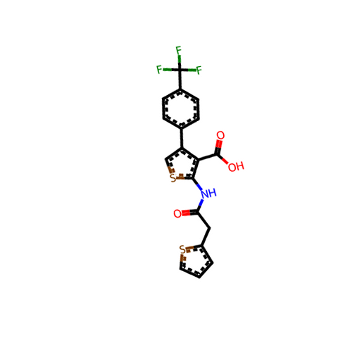 O=C(Cc1cccs1)Nc1scc(-c2ccc(C(F)(F)F)cc2)c1C(=O)O